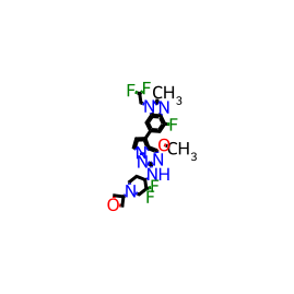 COc1nc(N[C@@H]2CCN(C3COC3)CC2(F)F)nn2ccc(-c3cc(F)c4nc(C)n(CC(F)F)c4c3)c12